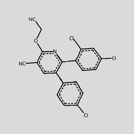 N#CCOc1nc(-c2ccc(Cl)cc2Cl)c(-c2ccc(Cl)cc2)cc1C#N